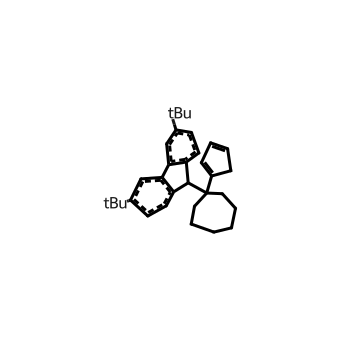 CC(C)(C)c1ccc2c(c1)-c1cc(C(C)(C)C)ccc1C2C1(C2=CC=CC2)CCCCCC1